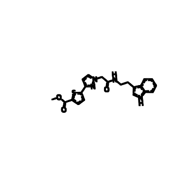 COC(=O)c1ccc(-c2ccn(CC(=O)NCCc3c[nH]c4ccccc34)n2)s1